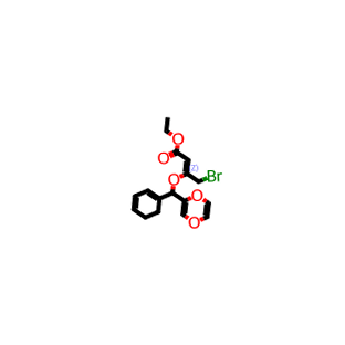 CCOC(=O)/C=C(/CBr)OC(C1=CC=CCC1)C1=COC=CO1